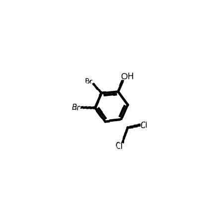 ClCCl.Oc1cccc(Br)c1Br